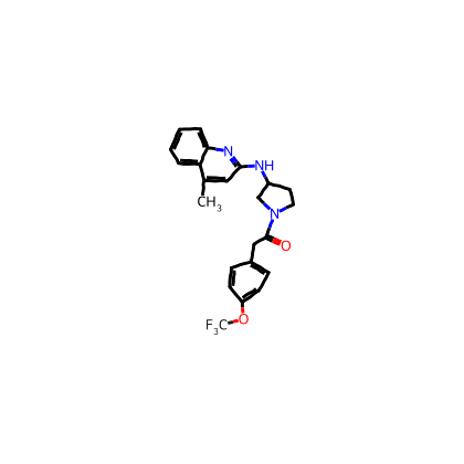 Cc1cc(NC2CCN(C(=O)Cc3ccc(OC(F)(F)F)cc3)C2)nc2ccccc12